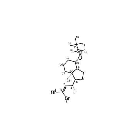 C[C@H](C=C(Br)Br)C1CCC2C(O[Si](C)(C)C(C)(C)C)CCC[C@@]21C